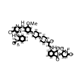 COc1cc(N2CCC(N3CCN(C(=O)CNc4cccc5c4C(=O)N(C4CCC(=O)N(C)C4=O)C5=O)CC3)CC2)ccc1Nc1ncc(Cl)c(Nc2ccccc2P(C)(C)=O)n1